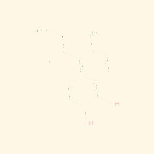 CCCCCCCCCCCC(=O)c1c(CCCC)ccc2c(O)c(O)ccc12